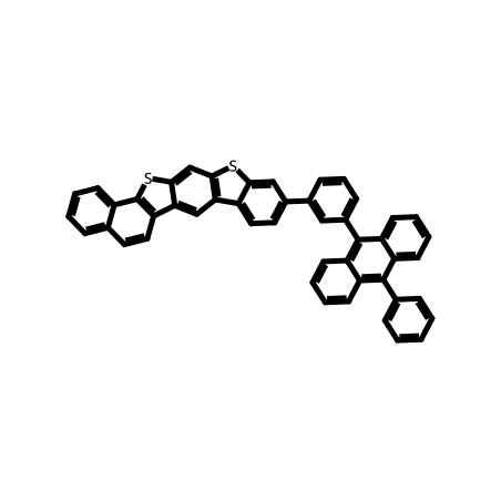 c1ccc(-c2c3ccccc3c(-c3cccc(-c4ccc5c(c4)sc4cc6sc7c8ccccc8ccc7c6cc45)c3)c3ccccc23)cc1